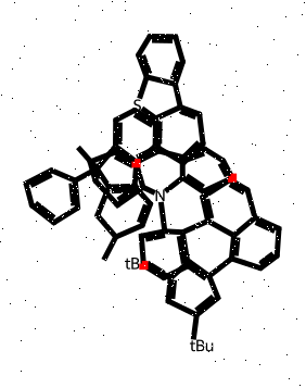 CC1C=CC2=C(C1)C(C)(c1ccccc1)c1cccc(-c3ccccc3N(c3ccccc3-c3cccc4c3sc3ccccc34)c3ccccc3-c3cccc4cccc(-c5cc(C(C)(C)C)cc(C(C)(C)C)c5)c34)c12